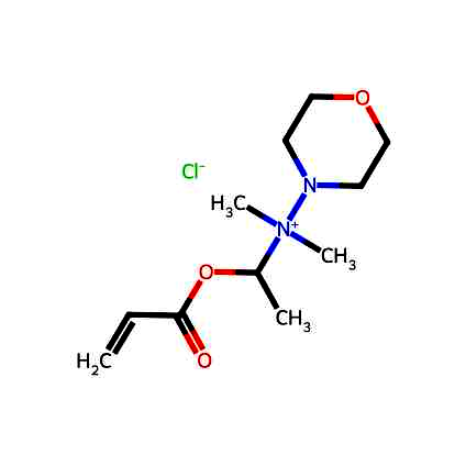 C=CC(=O)OC(C)[N+](C)(C)N1CCOCC1.[Cl-]